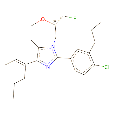 CC=C(CCC)c1nc(-c2ccc(Cl)c(CCC)c2)n2c1CCO[C@H](CF)C2